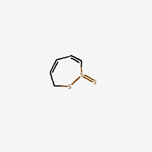 S=S1C=CC=CCS1